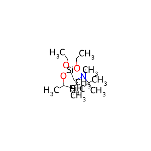 CCO[Si](CN(C)C(C)(C)C)(OCC)OC(C)[SiH](C)C